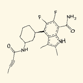 CC#CC(=O)NC1CCC[C@@H](c2c(F)c(F)c(C(N)=O)c3[nH]c(C)c(C)c23)C1